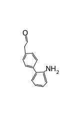 Nc1ccccc1-c1ccc(CC=O)cc1